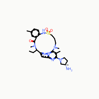 CCC1c2cc3nc(N4CC[C@H](N)C4)c(C)c(n3n2)N(C)CCCS(=O)(=O)Nc2ccc(C)cc2C(=O)N1C